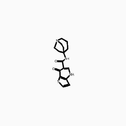 O=C(NC12CCCN(CC1)CC2)c1c[nH]c2ccsc2c1=O